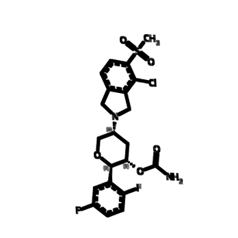 CS(=O)(=O)c1ccc2c(c1Cl)CN([C@H]1CO[C@H](c3cc(F)ccc3F)[C@@H](OC(N)=O)C1)C2